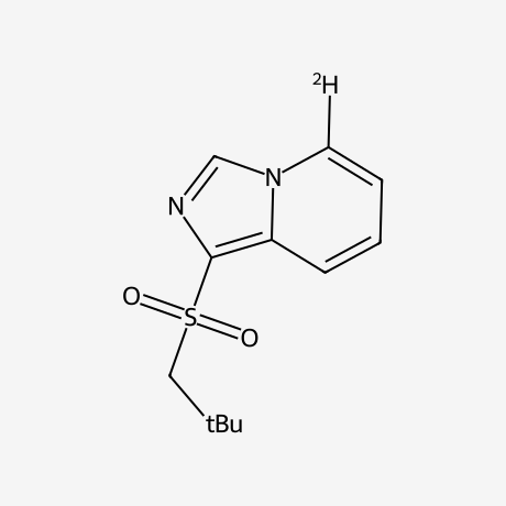 [2H]c1cccc2c(S(=O)(=O)CC(C)(C)C)ncn12